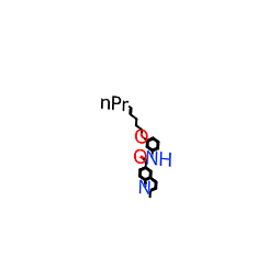 CCCC=CCCCOc1cccc(NC(=O)c2ccc3nc(C)ccc3c2)c1